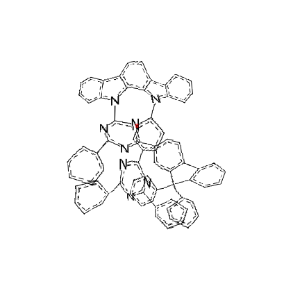 c1ccc(-c2nc(-c3ccccc3)nc(-c3ccc(-n4c5ccccc5c5ccc6c7ccccc7n(-c7nc(-c8ccccc8)nc(-c8ccc9c(c8)C(c8ccccc8)(c8ccccc8)c8ccccc8-9)n7)c6c54)cc3)n2)cc1